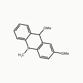 COc1ccc2c(c1)C(OC)c1ccccc1N2C